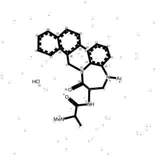 CNC(C)C(=O)NC1CN(C(C)=O)c2ccccc2N(Cc2c(C)ccc3ccccc23)C1=O.Cl